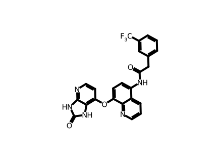 O=C(Cc1cccc(C(F)(F)F)c1)Nc1ccc(Oc2ccnc3[nH]c(=O)[nH]c23)c2ncccc12